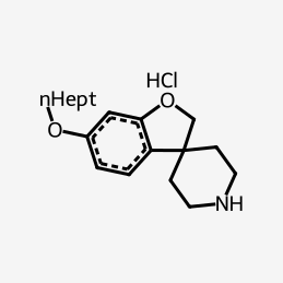 CCCCCCCOc1ccc2c(c1)OCC21CCNCC1.Cl